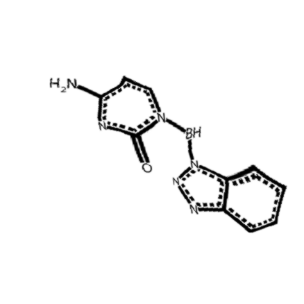 Nc1ccn(Bn2nnc3ccccc32)c(=O)n1